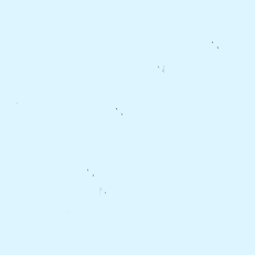 C=C(Nc1cccc(CN2N=C(c3ccc(Cl)cc3)CSC2=O)c1)C(=O)NCCN(C)C